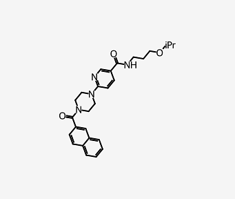 CC(C)OCCCNC(=O)c1ccc(N2CCN(C(=O)c3ccc4ccccc4c3)CC2)nc1